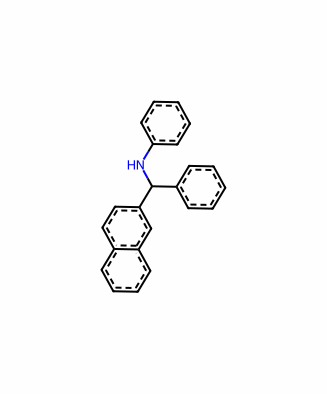 c1ccc(NC(c2ccccc2)c2ccc3ccccc3c2)cc1